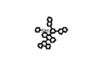 c1ccc([SiH2]c2ccc3c(-c4cc5ccccc5c5ccccc45)c4ccccc4c(-c4cc(-c5ccc6ccccc6c5)cc(-c5ccc6ccccc6c5)c4)c3c2)cc1